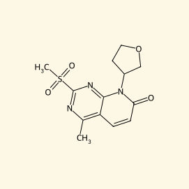 Cc1nc(S(C)(=O)=O)nc2c1ccc(=O)n2C1CCOC1